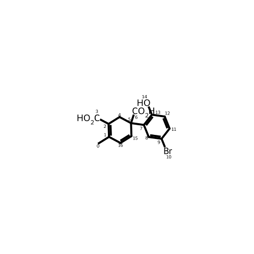 CC1=C(C(=O)O)CC(C(=O)O)(c2cc(Br)ccc2O)C=C1